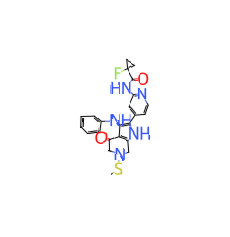 CSN1CC(=O)c2c([nH]c(-c3ccnc(NC(=O)C4(F)CC4)c3)c2Nc2ccccc2)C1